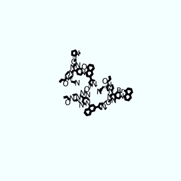 C=CC(=O)N1CCN(c2nc(OC[C@@H]3CC(c4cc(N5CCc6c(nc(OC[C@@H]7CCCN7C)nc6N6CCN(C(=O)C=C)[C@@H](CC#N)C6)C5)c5c(OC)cccc5c4)CN3C)nc3c2CCN(c2cc(C4C[C@@H](COc5nc6c(c(N7CCN(C(=O)C=C)[C@@H](CC#N)C7)n5)CCN(c5cccc7cccc(Br)c57)C6)N(C)C4)cc4ccccc24)C3)[C@@H](C#N)C1